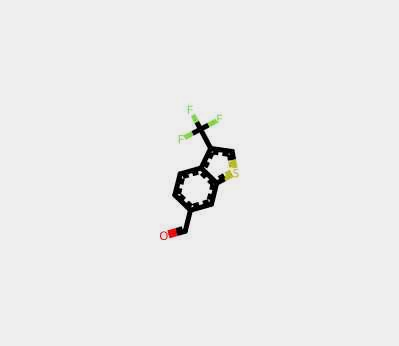 O=Cc1ccc2c(C(F)(F)F)csc2c1